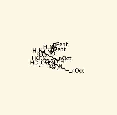 CCCCCC(N)=O.CCCCCC(N)=O.CCCCCCCC/C=C\CCCCCCCC(N)=O.CCCCCCCC/C=C\CCCCCCCC(N)=O.O=C(O)c1cc(C(=O)O)c(C(=O)O)cc1C(=O)O